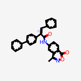 Cc1noc(=O)c2ccc(NC(=O)/C(=C\c3ccccc3)c3ccc(-c4ccccc4)cc3)cc12